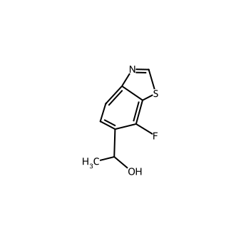 CC(O)c1ccc2ncsc2c1F